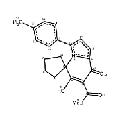 COC(=O)C1=C(O)C2(CCCC2)n2c(ccc2-c2ccc(C)cc2)C1=O